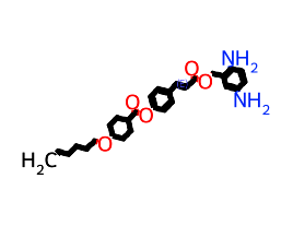 C=CCCCCOC1CCC(C(=O)Oc2ccc(/C=C/C(=O)OCc3cc(N)ccc3N)cc2)CC1